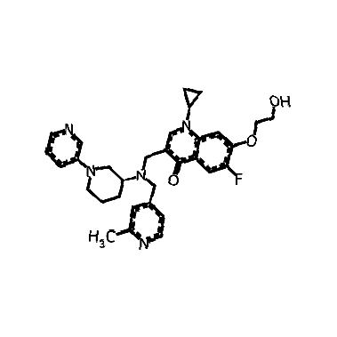 Cc1cc(CN(Cc2cn(C3CC3)c3cc(OCCO)c(F)cc3c2=O)[C@H]2CCCN(c3cccnc3)C2)ccn1